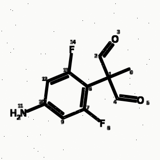 CC(C=O)(C=O)c1c(F)cc(N)cc1F